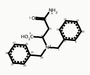 NC(=O)CC(C(=O)O)N(Cc1ccccc1)Cc1ccccc1